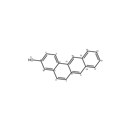 Oc1ccc2c(ccc3cc4ccccc4cc32)c1